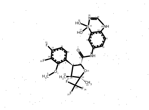 COc1c([C@H]2[C@H](C(=O)Nc3ccc4c(c3)S(O)(O)N=CN4)O[C@@](C)(C(F)(F)F)[C@H]2C)ccc(F)c1F